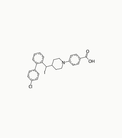 O=C(O)c1ccc(N2CCC(C(I)c3ccccc3-c3ccc(Cl)cc3)CC2)cc1